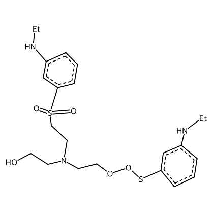 CCNc1cccc(SOOCCN(CCO)CCS(=O)(=O)c2cccc(NCC)c2)c1